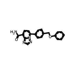 NC(=O)c1ccc(-c2ccc(COc3ccccc3)cc2)n2n[c]nc12